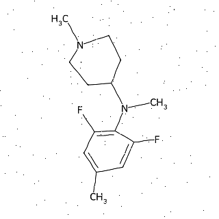 Cc1cc(F)c(N(C)C2CCN(C)CC2)c(F)c1